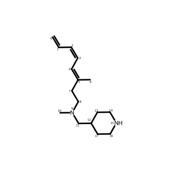 C=C/C=C\C=C(/C)CCN(C)CC1CCNCC1